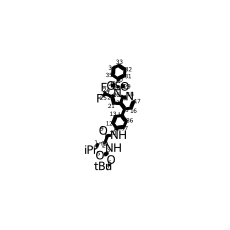 CC(C)C[C@@H](NC(=O)OC(C)(C)C)C(=O)Nc1ccc(-c2ccnc3c2cc(C(F)F)n3S(=O)(=O)c2ccccc2)cc1